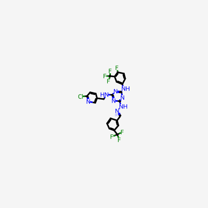 Fc1ccc(Nc2nc(NCc3ccc(Cl)nc3)nc(N/N=C/c3cccc(C(F)(F)F)c3)n2)cc1C(F)(F)F